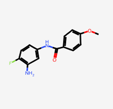 COc1ccc(C(=O)Nc2ccc(F)c(N)c2)cc1